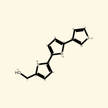 OCc1ccc(-c2ccc(-c3ccsc3)s2)s1